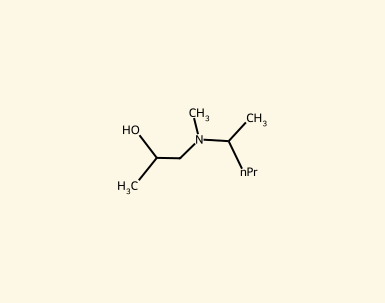 CCCC(C)N(C)CC(C)O